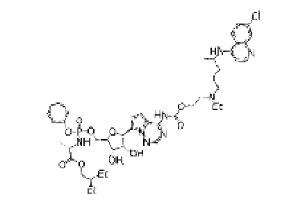 CCC(CC)COC(=O)[C@H](C)N[P@](=O)(OCC1O[C@@H](c2ccc3c(NC(=O)OCCN(CC)CCCC(C)Nc4ccnc5cc(Cl)ccc45)ncnn23)[C@H](O)[C@@H]1O)Oc1ccccc1